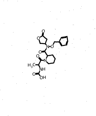 CC(NC(=O)O)C(=O)N1CCCCC1C(=O)N(OCc1ccccc1)C1COC(=O)C1